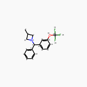 CC1CN(C(c2ccccc2)c2cccc(OC(F)(F)F)c2)C1